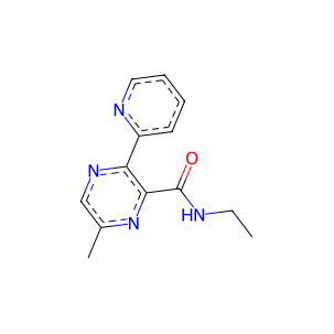 CCNC(=O)c1nc(C)cnc1-c1ccccn1